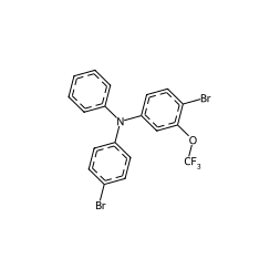 FC(F)(F)Oc1cc(N(c2ccccc2)c2ccc(Br)cc2)ccc1Br